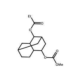 CCC(=O)OC1C2CC3CCC(C(OC(=O)OC)C2)C1C3